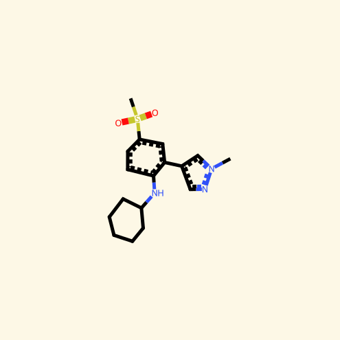 Cn1cc(-c2cc(S(C)(=O)=O)ccc2NC2CCCCC2)cn1